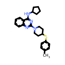 Cc1ccc(SC2CCN(c3nc(NC4CCCC4)c4ccccc4n3)CC2)cc1